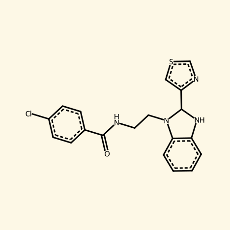 O=C(NCCN1c2ccccc2NC1c1cscn1)c1ccc(Cl)cc1